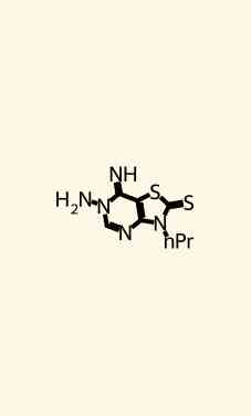 CCCn1c(=S)sc2c(=N)n(N)cnc21